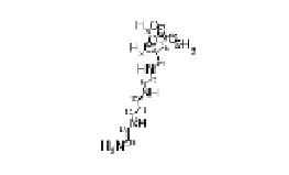 CO[Si](CCCNCCNCCCNCCN)(OC)OC